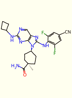 C[C@]1(C(N)=O)CC[C@@H](n2c(Nc3c(F)cc(C#N)cc3F)nc3cnc(NC4CCC4)nc32)CC1